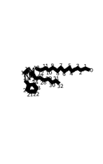 CCCCCCCCCCCCCC[n+]1ccn(Cc2ccccc2)c1CCCCCCC